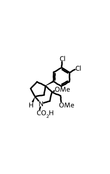 COC[C@]1(OC)CN(C(=O)O)[C@@H]2CC[C@@]1(c1ccc(Cl)c(Cl)c1)C2